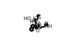 CC1(c2cccc3ccccc23)C(=O)N(CCCc2cnc[nH]2)C(=O)N1CC(=O)NC(Cc1cccs1)C(=O)O